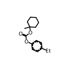 CCc1ccc(OC(=O)OC2(C)CCCCC2)cc1